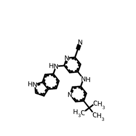 CC(C)(C)c1cncc(Nc2cc(C#N)nc(Nc3ccc4cc[nH]c4c3)c2)c1